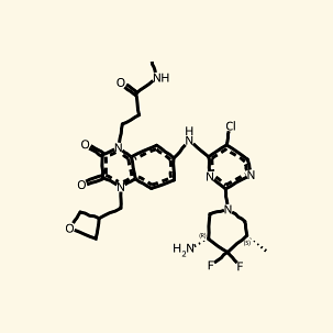 CNC(=O)CCn1c(=O)c(=O)n(CC2COC2)c2ccc(Nc3nc(N4C[C@@H](N)C(F)(F)[C@@H](C)C4)ncc3Cl)cc21